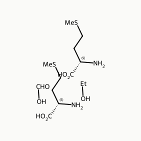 CCO.CSCC[C@H](N)C(=O)O.CSCC[C@H](N)C(=O)O.O=CO